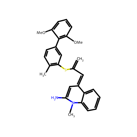 C=C(C=C1C=C(N)N(C)c2ccccc21)Sc1cc(-c2c(OC)cccc2OC)ccc1C